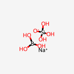 OB(O)O.[Na+].[O-][Si](O)(O)O